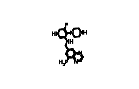 FC1=C(N2CCNCC2)C(NCc2cc(P)c3nccnc3c2)=CNC1